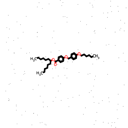 CCCCCCOc1ccc(COc2ccc(C(=O)OC(CCCCCC)CCCCCC)cc2)cc1